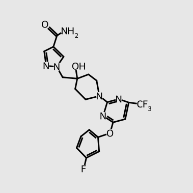 NC(=O)c1cnn(CC2(O)CCN(c3nc(Oc4cccc(F)c4)cc(C(F)(F)F)n3)CC2)c1